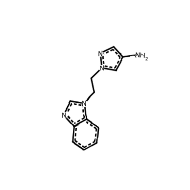 Nc1cnn(CCn2cnc3ccccc32)c1